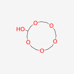 OC1COCCOCCOCCOCCOC1